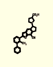 Cc1c(-c2ccccc2)cccc1-c1cc2cc3c(c(C#N)c2o1)CCC3N1CCC(C(=O)O)C1